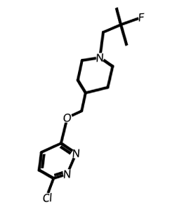 CC(C)(F)CN1CCC(COc2ccc(Cl)nn2)CC1